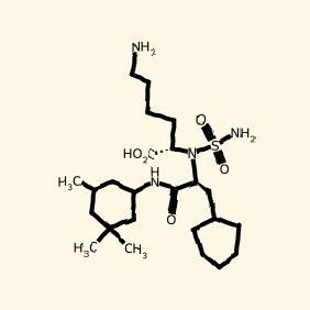 CC1CC(NC(=O)[C@H](CC2CCCCC2)N([C@@H](CCCCN)C(=O)O)S(N)(=O)=O)CC(C)(C)C1